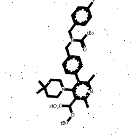 Cc1nc(C)c(C(OC(C)(C)C)C(=O)O)c(N2CCC(C)(C)CC2)c1-c1ccc(CN(Cc2ccc(F)cc2)C(=O)C(C)(C)C)cc1